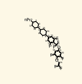 CCCC1CCC(C2CCC(c3cc(F)c(C(F)(F)Oc4cc(F)c(OC=C(F)F)c(F)c4)c(F)c3)CC2)CC1